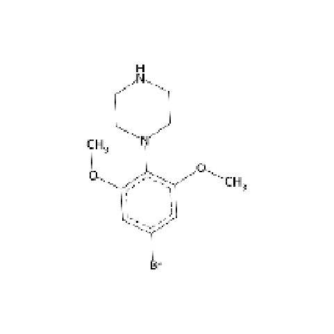 COc1cc(Br)cc(OC)c1N1CCNCC1